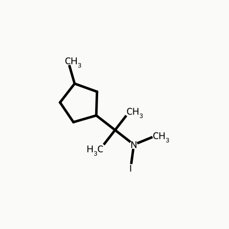 CC1CCC(C(C)(C)N(C)I)C1